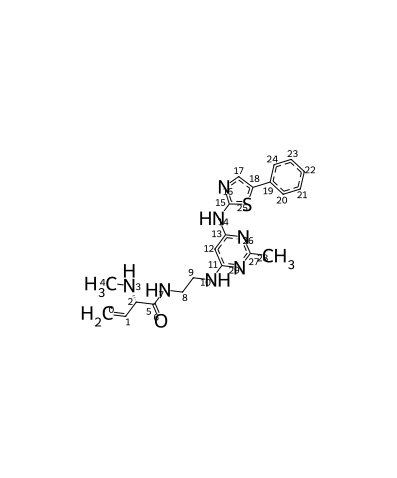 C=C[C@H](NC)C(=O)NCCNc1cc(Nc2ncc(-c3ccccc3)s2)nc(C)n1